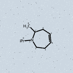 CC(C)N1CCC=CCC1C